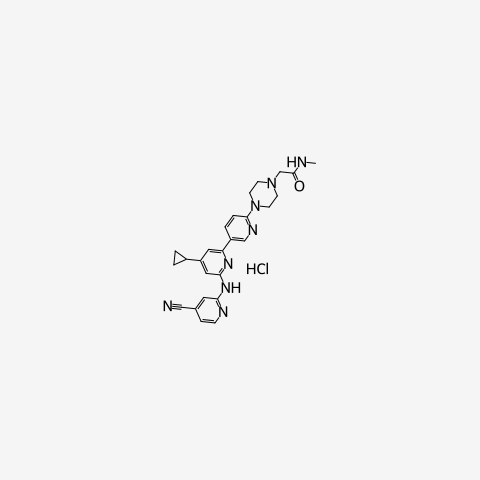 CNC(=O)CN1CCN(c2ccc(-c3cc(C4CC4)cc(Nc4cc(C#N)ccn4)n3)cn2)CC1.Cl